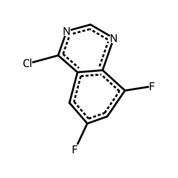 Fc1cc(F)c2ncnc(Cl)c2c1